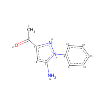 CC(=O)c1cc(N)n(-c2ccccc2)n1